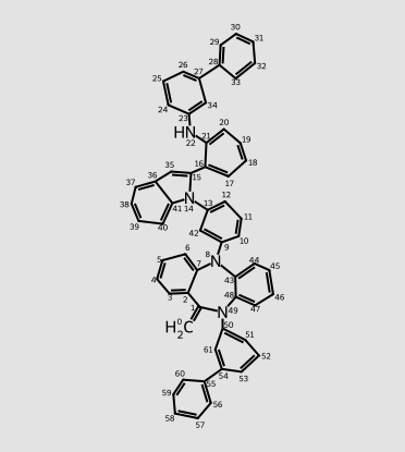 C=C1c2ccccc2N(c2cccc(-n3c(-c4ccccc4Nc4cccc(-c5ccccc5)c4)cc4ccccc43)c2)c2ccccc2N1c1cccc(-c2ccccc2)c1